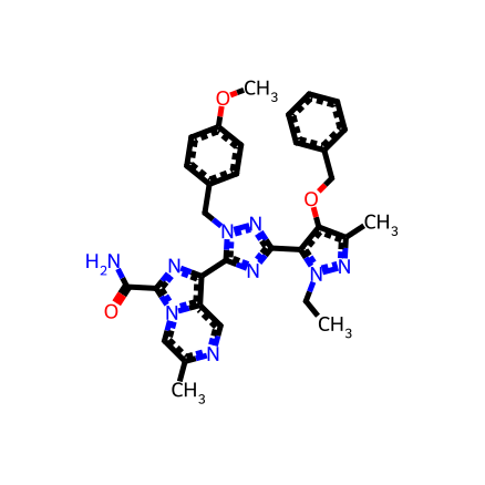 CCn1nc(C)c(OCc2ccccc2)c1-c1nc(-c2nc(C(N)=O)n3cc(C)ncc23)n(Cc2ccc(OC)cc2)n1